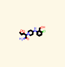 NC(=O)C(C1=CCOO1)N1CCC(Nc2cccc(Cl)c2CO)CC1